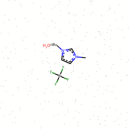 CCCC[n+]1ccn(C)c1.F[B-](F)(F)F.O